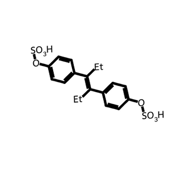 CC/C(=C(/CC)c1ccc(OS(=O)(=O)O)cc1)c1ccc(OS(=O)(=O)O)cc1